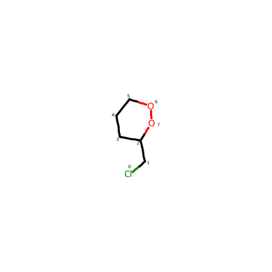 ClCC1CCCOO1